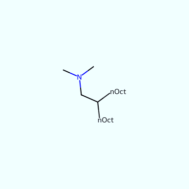 CCCCCCCCC(CCCCCCCC)CN(C)C